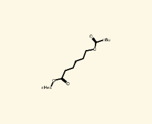 CCCCCCOC(=O)CCCCCOC(=O)CCCC